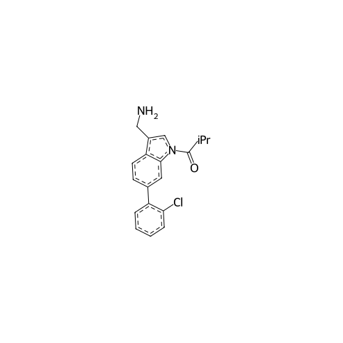 CC(C)C(=O)n1cc(CN)c2ccc(-c3ccccc3Cl)cc21